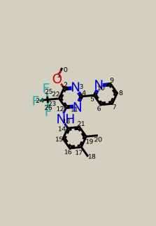 COc1nc(-c2ccccn2)nc(Nc2ccc(C)c(C)c2)c1C(F)(F)F